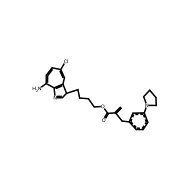 C=C(Cc1cccc(N2CCCC2)c1)C(=O)OCCCCC1C=NC2=C1C=C(Cl)C=C=C2N